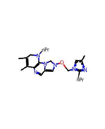 CCCc1nc(C)cn1CON1C=C2C=NC3=C(N(CCC)CC(C)=C3C)N2C1